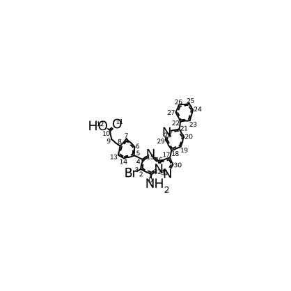 Nc1c(Br)c(-c2ccc(CC(=O)O)cc2)nc2c(-c3ccc(-c4ccccc4)nc3)cnn12